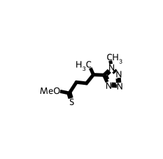 COC(=S)CCC(C)c1nnnn1C